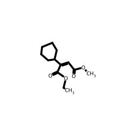 CCOC(=O)/C(=C\C(=O)OC)C1CCCCC1